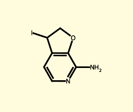 Nc1nccc2c1OCC2I